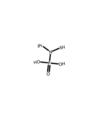 CC(C)N(S)P(=O)(O)O